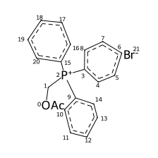 CC(=O)OC[P+](c1ccccc1)(c1ccccc1)c1ccccc1.[Br-]